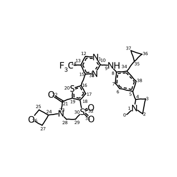 CN1CCC1c1ccc(Nc2ncc(C(F)(F)F)c(-c3cc4c(s3)C(=O)N(C3COC3)CCS4(=O)=O)n2)c(C2CC2)c1